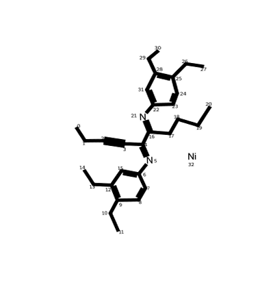 CCC#CC(=Nc1ccc(CC)c(CC)c1)C(CCCC)=Nc1ccc(CC)c(CC)c1.[Ni]